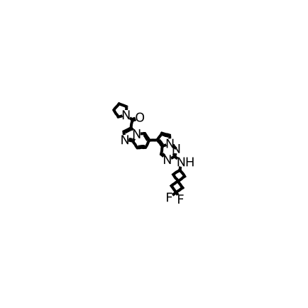 O=C(c1cnc2ccc(-c3ccn4nc(NC5CC6(C5)CC(F)(F)C6)ncc34)cn12)N1CCCC1